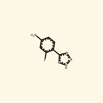 Nc1ccc(-c2nn[nH]n2)c(F)c1